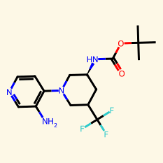 CC(C)(C)OC(=O)N[C@H]1CC(C(F)(F)F)CN(c2ccncc2N)C1